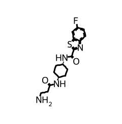 NCCC(=O)N[C@H]1CC[C@H](NC(=O)c2nc3ccc(F)cc3s2)CC1